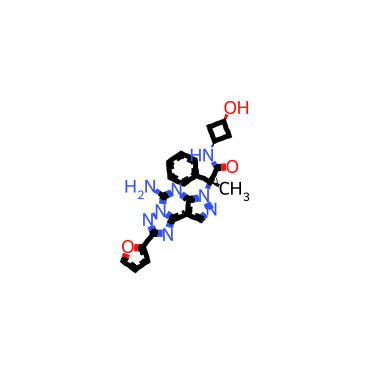 C[C@](C(=O)N[C@H]1C[C@H](O)C1)(c1ccccc1)n1ncc2c1nc(N)n1nc(-c3ccco3)nc21